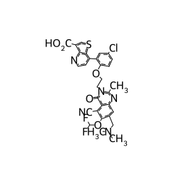 Cc1nc2cc(CN(C)C)c(OC(F)F)c(C#N)c2c(=O)n1CCOc1ccc(Cl)cc1-c1ccnc2c(C(=O)O)csc12